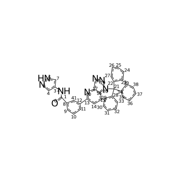 O=C(Nc1cn[nH]c1)c1cccc(-c2ccc3c(nnn3C(c3ccccc3)(c3ccccc3)c3ccccc3)n2)c1